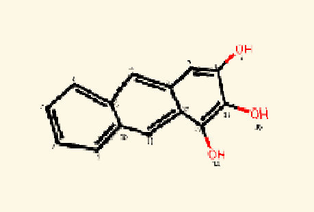 Oc1cc2cc3ccccc3cc2c(O)c1O